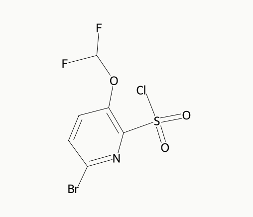 O=S(=O)(Cl)c1nc(Br)ccc1OC(F)F